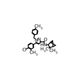 Cc1ccc(Cn2nc(C(=O)NC3C4=CC45CC5C3(C)C)cc2-c2ccc(Cl)c(C)c2)cc1